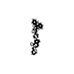 O=C1c2cc(N3CCN(CCCCC4(C(=O)NCC(F)(F)F)c5ccccc5Sc5ccccc54)CC3)ccc2CCN1CC1CCCCO1